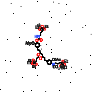 CCO[Si](CCCNC(=O)Oc1ccc(/C=C/C(CC(=O)/C=C/c2ccc(N(CCC[Si](OCC)(OCC)OCC)C(=O)O)c(OC)c2)OCCC[Si](OCC)(OCC)OCC)cc1OC)(OCC)OCC